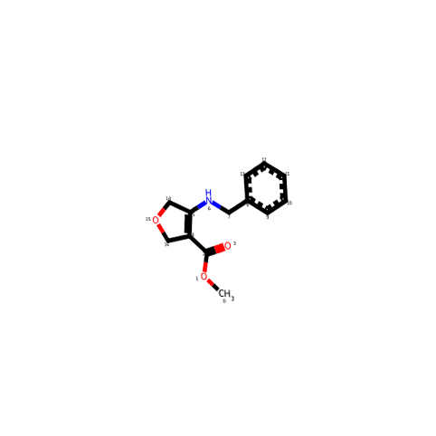 COC(=O)C1=C(NCc2ccccc2)COC1